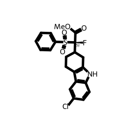 COC(=O)[C@](F)(C1CCc2c([nH]c3ccc(Cl)cc23)C1)S(=O)(=O)c1ccccc1